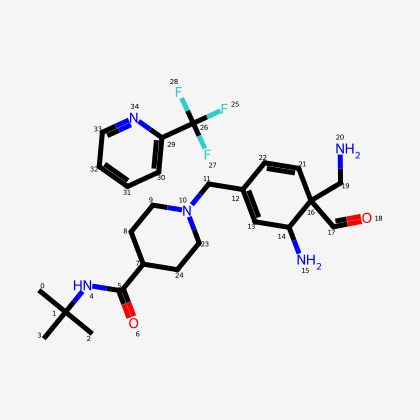 CC(C)(C)NC(=O)C1CCN(CC2=CC(N)C(C=O)(CN)C=C2)CC1.FC(F)(F)c1ccccn1